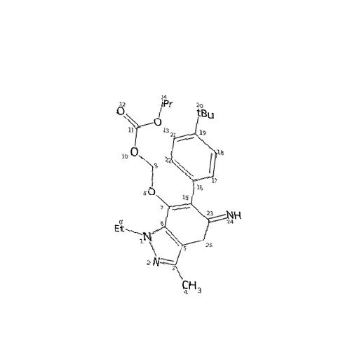 CCn1nc(C)c2c1C(OCOC(=O)OC(C)C)=C(c1ccc(C(C)(C)C)cc1)C(=N)C2